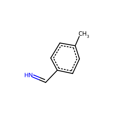 Cc1ccc(C=N)cc1